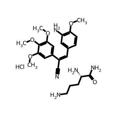 COc1ccc(/C=C(/C#N)c2cc(OC)c(OC)c(OC)c2)cc1N.Cl.NCCC[C@H](N)C(N)=O